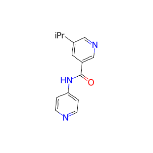 CC(C)c1cncc(C(=O)Nc2ccncc2)c1